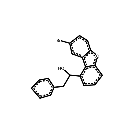 OC(Cc1ccccc1)c1cccc2oc3ccc(Br)cc3c12